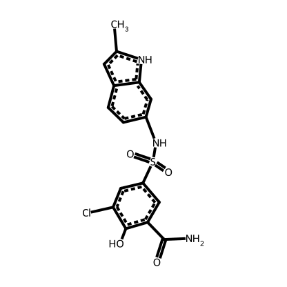 Cc1cc2ccc(NS(=O)(=O)c3cc(Cl)c(O)c(C(N)=O)c3)cc2[nH]1